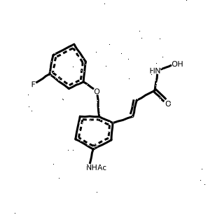 CC(=O)Nc1ccc(Oc2cccc(F)c2)c(/C=C/C(=O)NO)c1